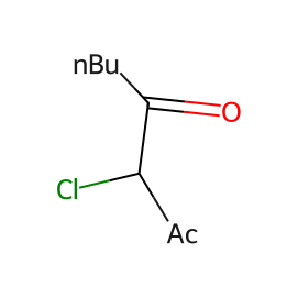 CCCCC(=O)C(Cl)C(C)=O